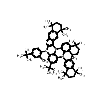 Cc1cc(C(C)(C)C)ccc1N1c2cc(C(C)(C)C)cc3c2B(c2ccc4c5c2N3c2cc3c(cc2C5(C)CCC4(C)C)C(C)(C)CCC3(C)C)c2c1sc1cc3c(cc21)C(C)(C)CCC3(C)C